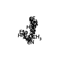 CCC(=O)N[C@H]1C[C@@H](CN2C(C#N)=CC3C(C)C(CN4CCC(Nc5ncnc6sc(CC(F)(F)F)cc56)CC4)CCC32)C1